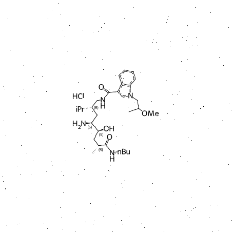 CCCCNC(=O)[C@H](C)C[C@H](O)[C@@H](N)C[C@@H](CNC(=O)c1cn(CC(C)OC)c2ccccc12)C(C)C.Cl